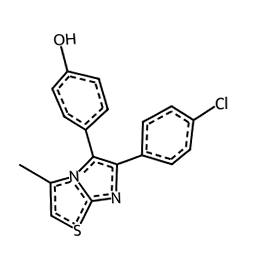 Cc1csc2nc(-c3ccc(Cl)cc3)c(-c3ccc(O)cc3)n12